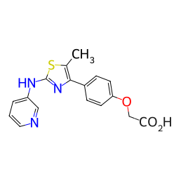 Cc1sc(Nc2cccnc2)nc1-c1ccc(OCC(=O)O)cc1